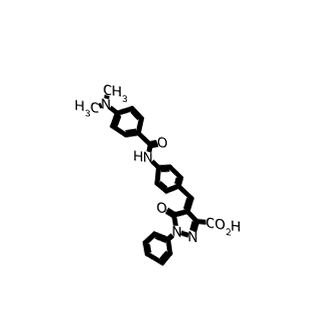 CN(C)c1ccc(C(=O)Nc2ccc(/C=C3\C(=O)N(c4ccccc4)N=C3C(=O)O)cc2)cc1